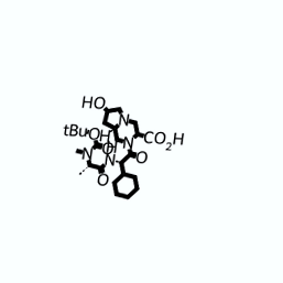 C[C@@H](C(=O)N[C@H](C(=O)N1C[C@H]2CC(O)CN2CC1C(=O)O)C1CCCCC1)N(C)C(=O)OC(C)(C)C